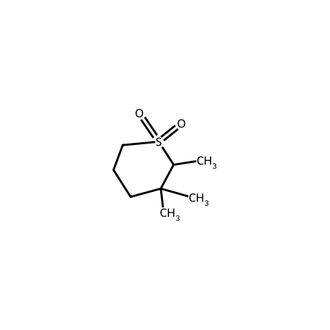 CC1C(C)(C)CCCS1(=O)=O